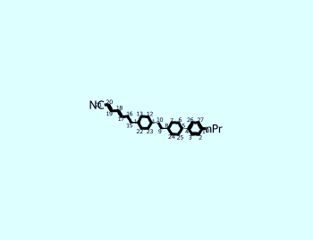 CCCc1ccc([C@H]2CC[C@H](CC[C@H]3CC[C@H](CC/C=C/C=C/C#N)CC3)CC2)cc1